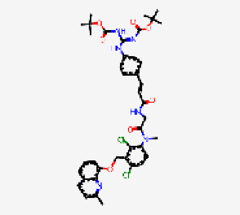 Cc1ccc2cccc(OCc3c(Cl)ccc(N(C)C(=O)CNC(=O)C=Cc4ccc(NC(=NC(=O)OC(C)(C)C)NC(=O)OC(C)(C)C)cc4)c3Cl)c2n1